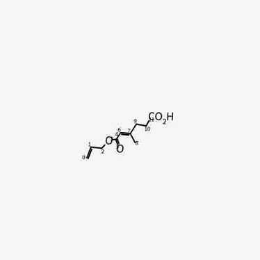 C=CCOC(=O)/C=C(\C)CCC(=O)O